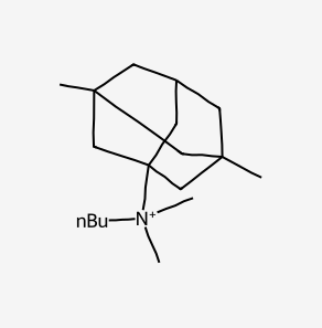 CCCC[N+](C)(C)C12CC3CC(C)(CC(C)(C3)C1)C2